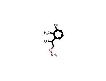 Cc1cccc(C(C)CO[SiH3])c1C